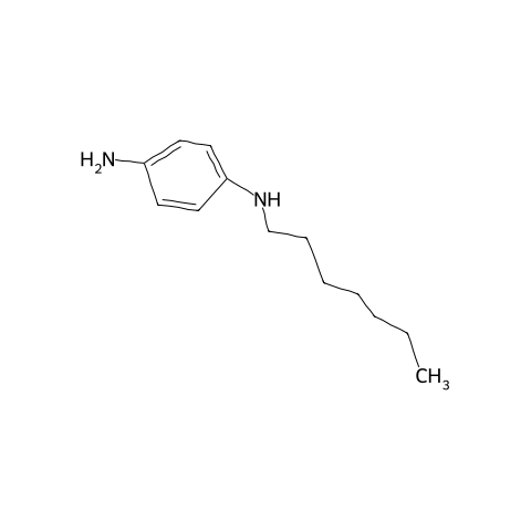 CCCCCCCNc1ccc(N)cc1